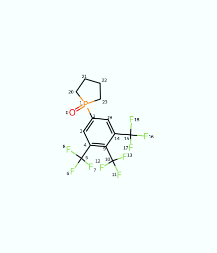 O=P1(c2cc(C(F)(F)F)c(C(F)(F)F)c(C(F)(F)F)c2)CCCC1